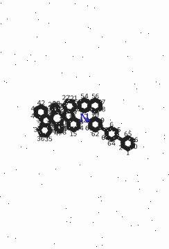 c1ccc(-c2ccc(-c3ccc(N(c4cccc5c4-c4ccccc4C54c5ccccc5C5(c6ccccc6-c6ccccc65)c5ccccc54)c4cccc5ccccc45)cc3)cc2)cc1